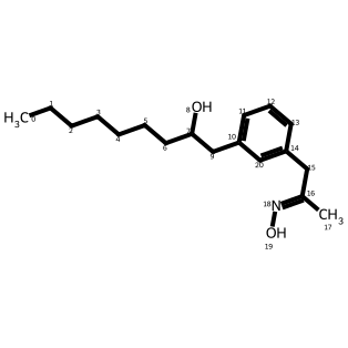 CCCCCCCC(O)Cc1cccc(CC(C)=NO)c1